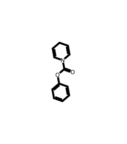 O=C(Oc1ccccc1)N1C=CCC=C1